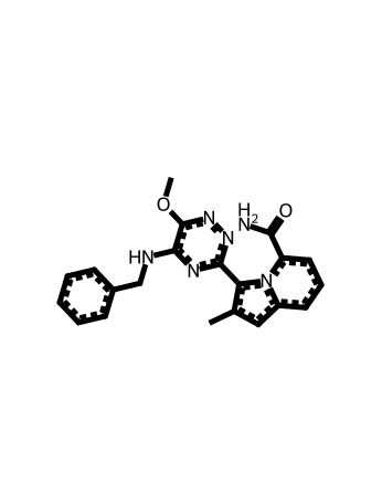 COc1nnc(-c2c(C)cc3cccc(C(N)=O)n23)nc1NCc1ccccc1